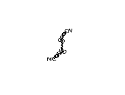 N#Cc1ccc(OCC(=O)OCCCCCCOC(=O)COc2ccc(C#N)cc2)cc1